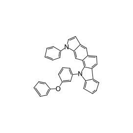 c1ccc(Oc2cccc(-n3c4ccccc4c4ccc5cc6ccn(-c7ccccc7)c6cc5c43)c2)cc1